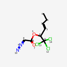 CCC=CC(OC(=O)C=[N+]=[N-])C(Cl)(Cl)Cl